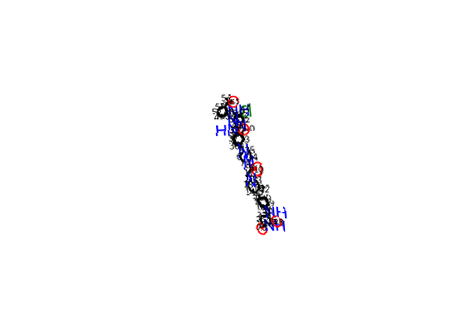 COc1cc(N2CCN(C(=O)CN3CCC(c4ccc(NC5CCC(=O)NC5=O)cc4)[C@H](C)C3)CC2)ccc1Nc1ncc(Cl)c(Nc2ccccc2C(C)=O)n1